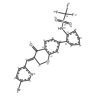 O=C1/C(=C/c2ccc(Br)cn2)COc2cc(-c3ccccc3NS(=O)(=O)C(F)(F)F)ccc21